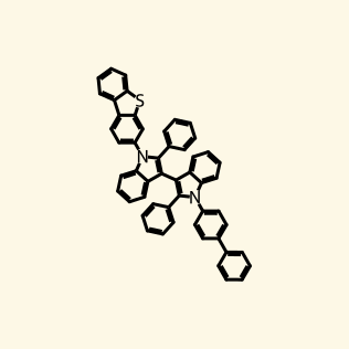 c1ccc(-c2ccc(-n3c(-c4ccccc4)c(-c4c(-c5ccccc5)n(-c5ccc6c(c5)sc5ccccc56)c5ccccc45)c4ccccc43)cc2)cc1